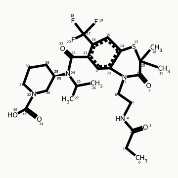 CCC(=O)NCCN1C(=O)C(C)(C)Sc2cc(C(F)(F)F)c(C(=O)N(C(C)C)[C@@H]3CCCN(C(=O)O)C3)cc21